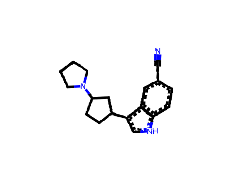 N#Cc1ccc2[nH]cc(C3CCC(N4CCCC4)C3)c2c1